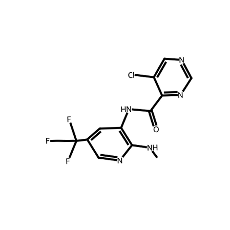 CNc1ncc(C(F)(F)F)cc1NC(=O)c1ncncc1Cl